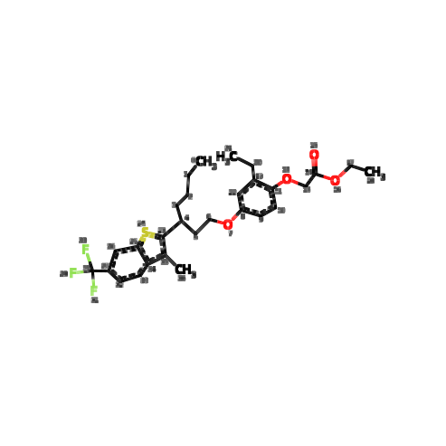 CCCCC(CCOc1ccc(OCC(=O)OCC)c(CC)c1)c1sc2cc(C(F)(F)F)ccc2c1C